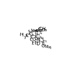 CCOc1cc(C(CS(C)(=O)=O)NC(=O)c2c(NC(C)=O)sc(C)c2C(=O)O)ccc1OC